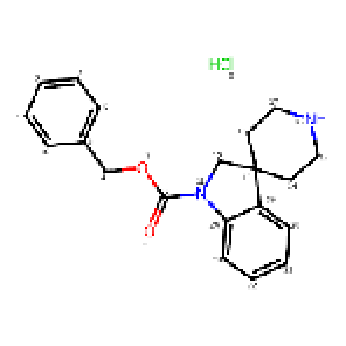 Cl.O=C(OCc1ccccc1)N1CC2(CCNCC2)c2ccccc21